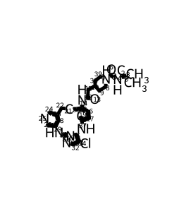 CC(C)(C)NC(=O)N1CCC(CC(=O)Nc2ccc3cc2CCc2cncc(c2)Nc2ncc(Cl)c(n2)N3)CC1